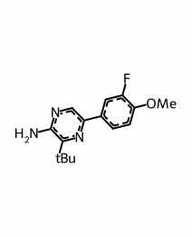 COc1ccc(-c2cnc(N)c(C(C)(C)C)n2)cc1F